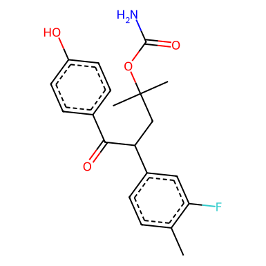 Cc1ccc(C(CC(C)(C)OC(N)=O)C(=O)c2ccc(O)cc2)cc1F